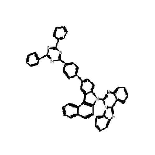 c1ccc(-c2nc(-c3ccccc3)nc(-c3ccc(-c4ccc5c(c4)c4c6ccccc6ccc4n5-c4nc5ccccc5c5nc6ccccc6n45)cc3)n2)cc1